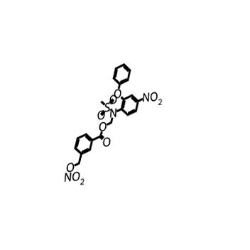 CS(=O)(=O)N(COC(=O)c1cccc(CO[N+](=O)[O-])c1)c1ccc([N+](=O)[O-])cc1Oc1ccccc1